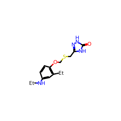 CCNc1ccc(OCSCc2n[nH]c(=O)[nH]2)c(CC)c1